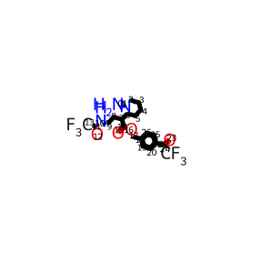 NN1CCCCC1C(CCNC(=O)C(F)(F)F)C(=O)OCc1ccc(C(=O)C(F)(F)F)cc1